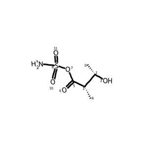 C[C@H](O)[C@H](C)C(=O)OS(N)(=O)=O